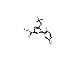 CCOC(=O)c1cn(-c2cc(Cl)ccc2C)c(CC(C)(C)C)n1